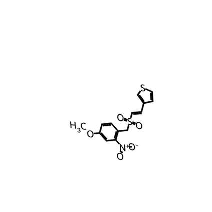 COc1ccc(CS(=O)(=O)C=Cc2ccsc2)c([N+](=O)[O-])c1